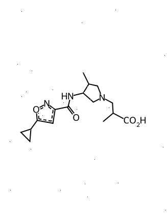 CC(CN1CC(C)C(NC(=O)c2cc(C3CC3)on2)C1)C(=O)O